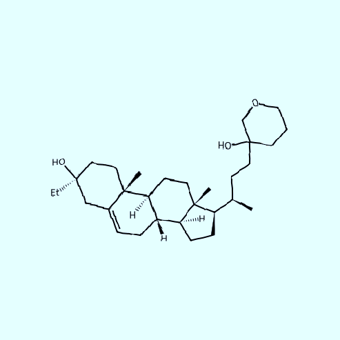 CC[C@]1(O)CC[C@@]2(C)C(=CC[C@H]3[C@@H]4CC[C@H]([C@H](C)CCC5(O)CCCOC5)[C@@]4(C)CC[C@@H]32)C1